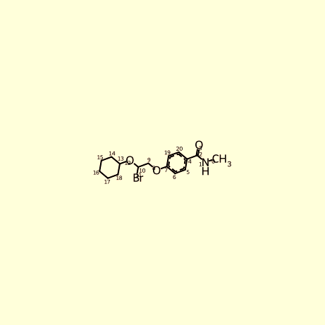 CNC(=O)c1ccc(OCC(Br)OC2CCCCC2)cc1